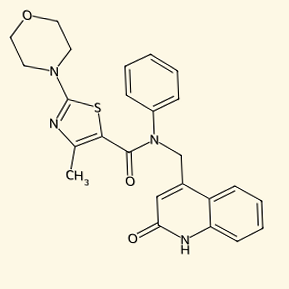 Cc1nc(N2CCOCC2)sc1C(=O)N(Cc1cc(=O)[nH]c2ccccc12)c1ccccc1